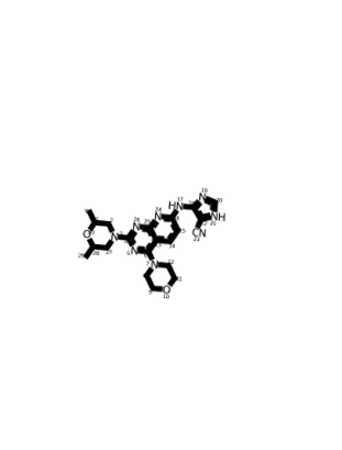 CC1CN(c2nc(N3CCOCC3)c3ccc(Nc4nc[nH]c4C#N)nc3n2)CC(C)O1